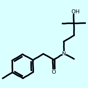 Cc1ccc(CC(=O)N(C)CCC(C)(C)O)cc1